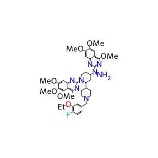 CCOc1cc(CN2CCC(C3CC(N(N)c4nc(OC)c5cc(OC)c(OC)cc5n4)CCN3c3nc(OC)c4cc(OC)c(OC)cc4n3)CC2)ccc1F